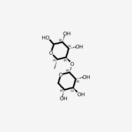 C[C@@H]1OC(O)[C@H](O)[C@H](O)[C@H]1O[C@H]1OC[C@@H](O)[C@H](O)[C@H]1O